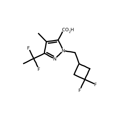 Cc1c(C(C)(F)F)nn(CC2CC(F)(F)C2)c1C(=O)O